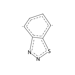 [c]1cc[c]c2snnc12